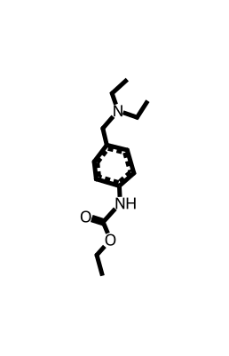 CCOC(=O)Nc1ccc(CN(CC)CC)cc1